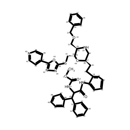 COC(=O)NC(C(=O)Nc1ccccc1CC[C@@H]1CN[C@H](COCc2ccccc2)[C@@H](CSc2nnc(-c3ccncc3)o2)O1)C(c1ccccc1)c1ccccc1